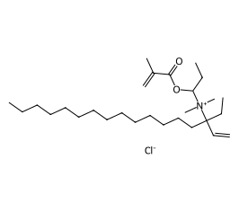 C=CC(CC)(CCCCCCCCCCCCCC)[N+](C)(C)C(CC)OC(=O)C(=C)C.[Cl-]